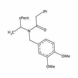 CCCCCC(C)N(Cc1ccc(OC)c(OC)c1)C(=O)CC(C)C